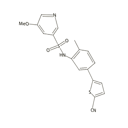 COc1cncc(S(=O)(=O)Nc2cc(-c3ccc(C#N)s3)ccc2C)c1